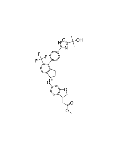 COC(=O)CC1COc2cc(O[C@@H]3CCc4c3ccc(C(F)(F)F)c4-c3ccc(-c4noc(C(C)(C)O)n4)cc3)ccc21